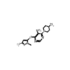 Cn1nc(C(F)(F)F)cc1Oc1ncnc(N2CCC(C(F)(F)F)CC2)c1[N+](=O)[O-]